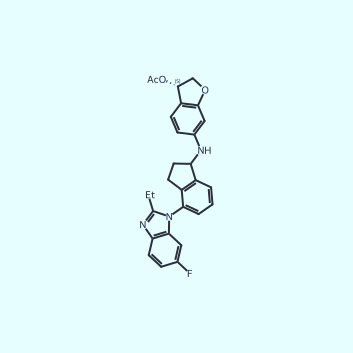 CCc1nc2ccc(F)cc2n1-c1cccc2c1CCC2Nc1ccc2c(c1)OC[C@H]2OC(C)=O